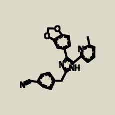 Cc1cccc(-c2[nH]c(Cc3ccc(C#N)cc3)nc2-c2ccc3c(c2)OCO3)n1